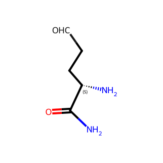 NC(=O)[C@@H](N)CCC=O